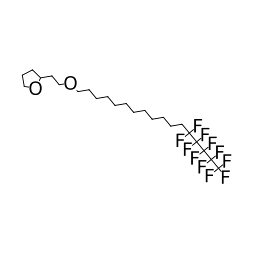 FC(F)(F)C(F)(F)C(F)(F)C(F)(F)C(F)(F)CCCCCCCCCCCCOCCC1CCCO1